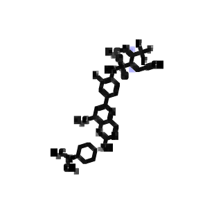 C#C/C=C(\C(=N/C)C(F)(F)F)S(=O)(=O)Nc1ccc(-c2cc(C)c3nc(N[C@H]4CC[C@H](N(C)C)CC4)ncc3n2)cc1F